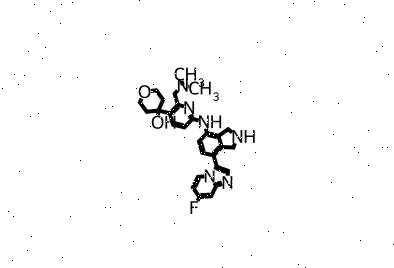 CN(C)Cc1nc(Nc2ccc(-c3cnc4cc(F)ccn34)c3c2CNC3)ccc1C1(O)CCOCC1